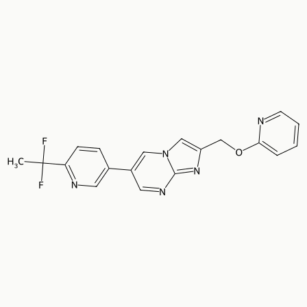 CC(F)(F)c1ccc(-c2cnc3nc(COc4ccccn4)cn3c2)cn1